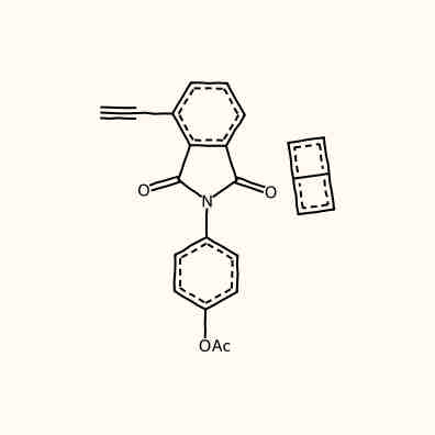 C#Cc1cccc2c1C(=O)N(c1ccc(OC(C)=O)cc1)C2=O.c1cc2ccc1-2